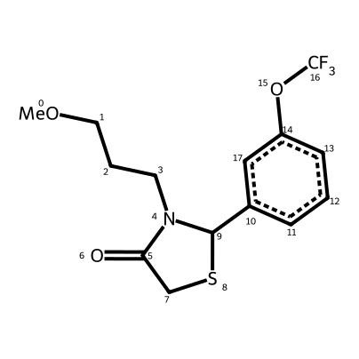 COCCCN1C(=O)CSC1c1cccc(OC(F)(F)F)c1